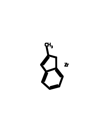 CC1=Cc2ccccc2C1.[Zr]